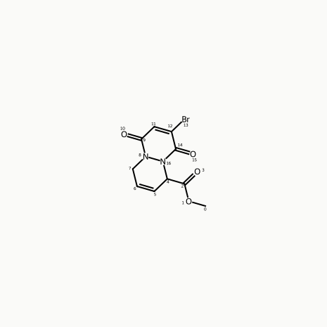 COC(=O)C1C=CCn2c(=O)cc(Br)c(=O)n21